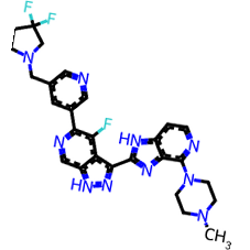 CN1CCN(c2nccc3[nH]c(-c4n[nH]c5cnc(-c6cncc(CN7CCC(F)(F)C7)c6)c(F)c45)nc23)CC1